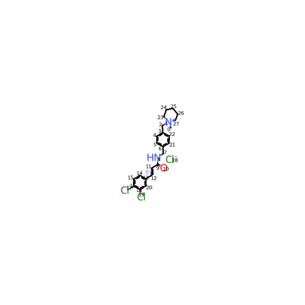 C[N+]1(Cc2ccc(CNC(=O)/C=C/c3ccc(Cl)c(Cl)c3)cc2)CCCCC1.[Cl-]